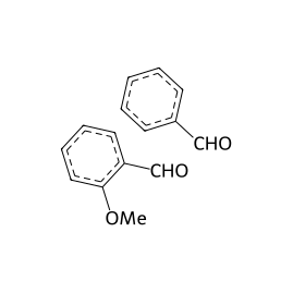 COc1ccccc1C=O.O=Cc1ccccc1